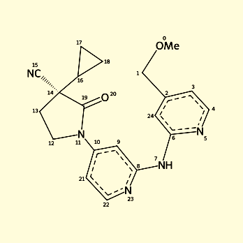 COCc1ccnc(Nc2cc(N3CC[C@@](C#N)(C4CC4)C3=O)ccn2)c1